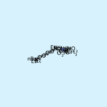 CCCC[N+](CC)(CC)CCOCCOCCOCCOCCN(CC)c1ccc(/N=N/c2sc([N+](=O)[O-])c(C)c2[N+](=O)[O-])c(C)c1